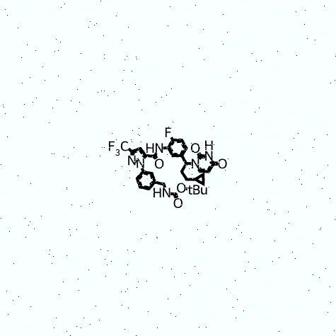 CC(C)(C)OC(=O)NCc1cccc(-n2nc(C(F)(F)F)cc2C(=O)Nc2cc(C(CCC3CC3)n3ccc(=O)[nH]c3=O)ccc2F)c1